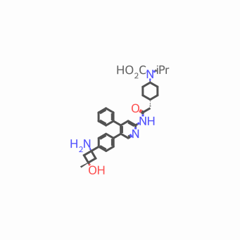 CC(C)N(C(=O)O)[C@H]1CC[C@H](CC(=O)Nc2cc(-c3ccccc3)c(-c3ccc([C@]4(N)C[C@](C)(O)C4)cc3)cn2)CC1